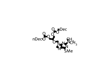 CCCCCCCCCCOC(=O)OCC(COC(=O)OCCCCCCCCCC)OCn1cnc2c(SC)nc(N(C)C)nc21